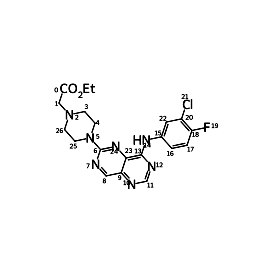 CCOC(=O)CN1CCN(c2ncc3ncnc(Nc4ccc(F)c(Cl)c4)c3n2)CC1